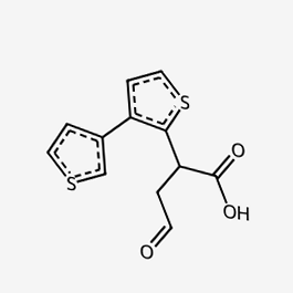 O=CCC(C(=O)O)c1sccc1-c1ccsc1